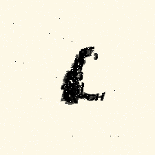 O=C1N(c2ccc(OC(F)(F)F)cc2)CCC12CCN(S(=O)(=O)c1cccnc1NCCO)CC2